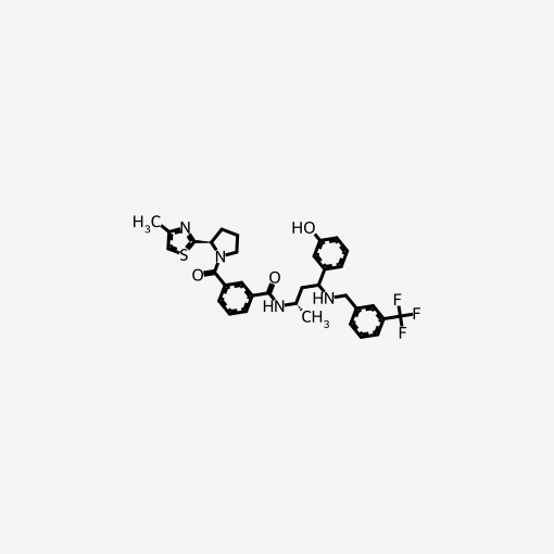 Cc1csc([C@H]2CCCN2C(=O)c2cccc(C(=O)N[C@@H](C)CC(NCc3cccc(C(F)(F)F)c3)c3cccc(O)c3)c2)n1